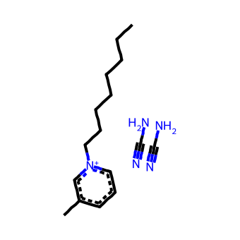 CCCCCCCC[n+]1cccc(C)c1.N#CN.N#CN